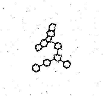 c1ccc(-c2ccc(-c3nc(-c4ccccc4)nc(-c4cccc(-n5c6cc7ccccc7cc6c6cc7ccccc7cc65)c4)n3)cc2)cc1